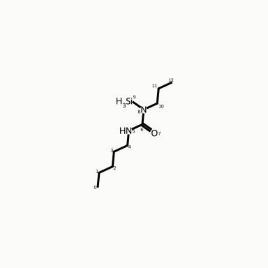 CCCCCNC(=O)N([SiH3])CCC